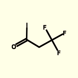 O=C(I)CC(F)(F)F